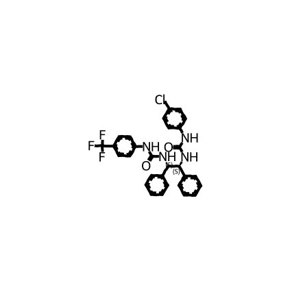 O=C(Nc1ccc(Cl)cc1)N[C@@H](c1ccccc1)[C@@H](NC(=O)Nc1ccc(C(F)(F)F)cc1)c1ccccc1